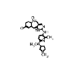 Cc1nc(N(C)C2CCN(C)C2)ccc1NC1=NC=C2C[N+](=O)C3=C(C=C(Cl)CC3)C=C2N1